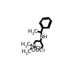 CC(NC(CC(=O)[O-])C[N+](C)(C)C)c1ccccc1